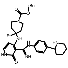 CCC1(Nc2cc[nH]c(=O)c2C(=N)Nc2ccc(C3CCCCN3)cc2)CCN(C(=O)OC(C)(C)C)CC1